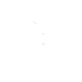 CN(c1cccc(-c2ccc(C(F)(F)F)cc2)c1)[C@H]1C[C@H]([C@@](N)(CCCCB(O)O)C(=O)O)C1